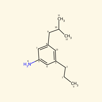 CCCc1cc(N)cc(CC(C)C)c1